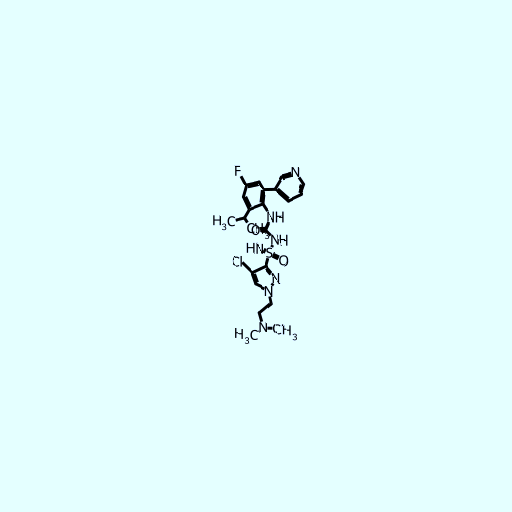 CC(C)c1cc(F)cc(-c2cccnc2)c1NC(=O)NS(=N)(=O)c1nn(CCN(C)C)cc1Cl